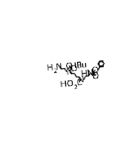 CC(C)(C)OC(=O)N(CCCN)CCCCN(CCCNC(=O)OCc1ccccc1)C(=O)O